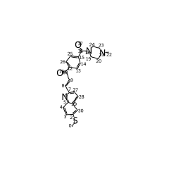 CSc1ccc2nc(C=CC(=O)c3ccc(C(=O)N4CCN(C)CC4)cc3)ccc2c1